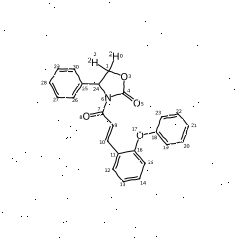 [2H]C1([2H])OC(=O)N(C(=O)C=Cc2ccccc2Oc2ccccc2)C1c1ccccc1